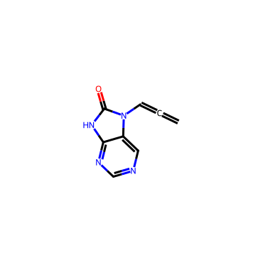 C=C=Cn1c(=O)[nH]c2ncncc21